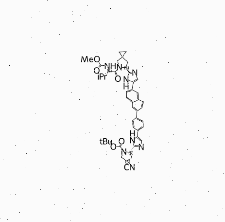 COC(=O)N[C@H](C(=O)N1CC2(CC2)C[C@H]1c1ncc(-c2ccc3cc(-c4ccc(-c5cnc([C@@H]6C[C@H](C#N)CN6C(=O)OC(C)(C)C)[nH]5)cc4)ccc3c2)[nH]1)C(C)C